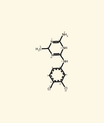 CC1N=C(N)NC(Nc2ccc(Cl)c(Cl)c2)=N1